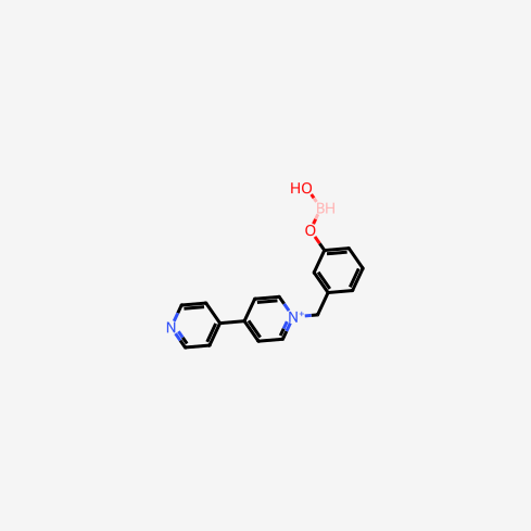 OBOc1cccc(C[n+]2ccc(-c3ccncc3)cc2)c1